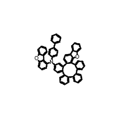 c1ccc(-c2ccc(N(c3ccc4c5ccccc5c5ccccc5c5ccccc5c5c(ccc6c7ccccc7oc65)c4c3)c3cccc4oc5ccccc5c34)cc2)cc1